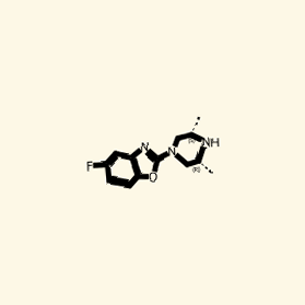 C[C@@H]1CN(c2nc3cc(F)ccc3o2)C[C@H](C)N1